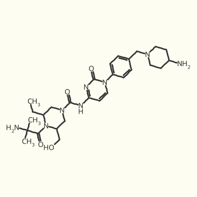 CCC1CN(C(=O)Nc2ccn(-c3ccc(CN4CCC(N)CC4)cc3)c(=O)n2)CC(CO)N1C(=O)C(C)(C)N